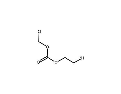 [2H]CCOC(=O)OCCl